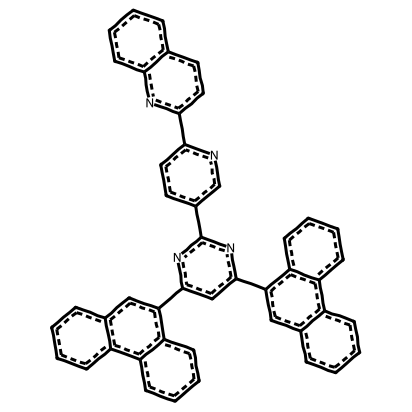 c1ccc2nc(-c3ccc(-c4nc(-c5cc6ccccc6c6ccccc56)cc(-c5cc6ccccc6c6ccccc56)n4)cn3)ccc2c1